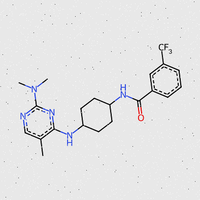 Cc1cnc(N(C)C)nc1NC1CCC(NC(=O)c2cccc(C(F)(F)F)c2)CC1